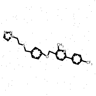 Cc1nc(-c2ccc(C(F)(F)F)cc2)ccc1COc1ccc(CSCCn2ccnn2)cc1